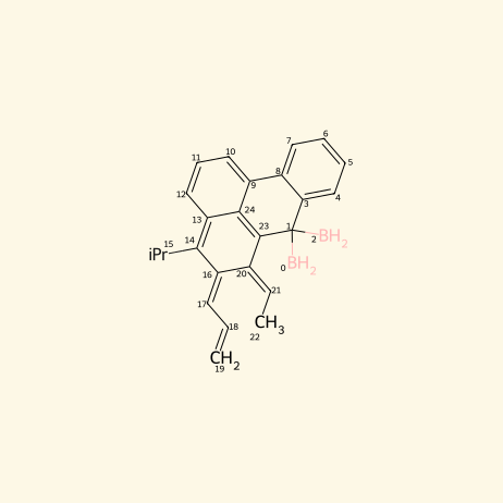 BC1(B)c2ccccc2-c2cccc3c(C(C)C)c(=C/C=C)/c(=C\C)c1c23